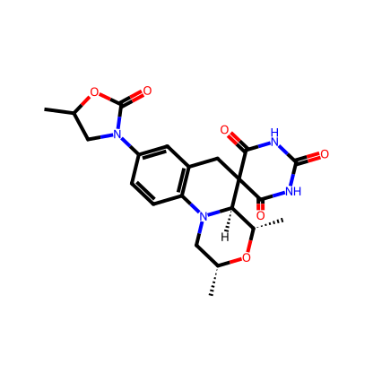 CC1CN(c2ccc3c(c2)CC2(C(=O)NC(=O)NC2=O)[C@H]2[C@H](C)O[C@H](C)CN32)C(=O)O1